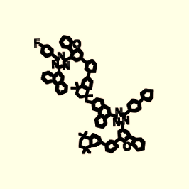 CC1(C)CCC(C)(C)c2cc(-c3cccc(-c4cc(-c5nc(-c6ccc(-c7ccccc7)cc6)nc(-c6cc7ccc(CC8(C)CCC(C)(C)c9cc(-c%10cccc(-c%11cc(-c%12nc(-c%13ccc(F)cc%13)nc(-c%13cc%14ccccc%14c%14ccccc%13%14)n%12)c%12c(c%11)oc%11ccccc%11%12)c%10)ccc98)cc7c7ccccc67)n5)cc5c4oc4ccccc45)c3)ccc21